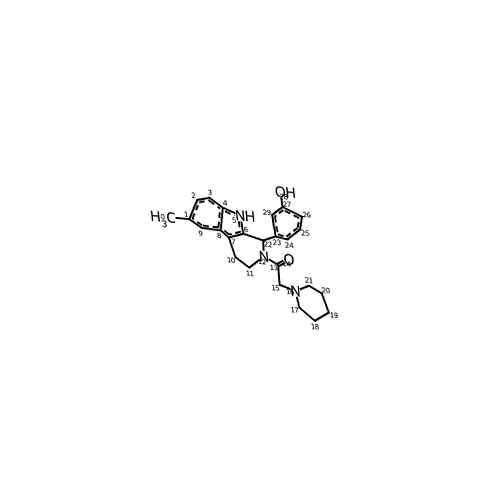 Cc1ccc2[nH]c3c(c2c1)CCN(C(=O)CN1CCCCC1)C3c1cccc(O)c1